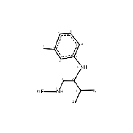 Cc1cccc(NC(CNF)C(C)C)c1